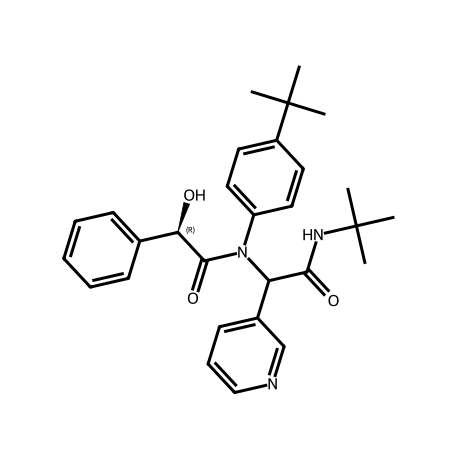 CC(C)(C)NC(=O)C(c1cccnc1)N(C(=O)[C@H](O)c1ccccc1)c1ccc(C(C)(C)C)cc1